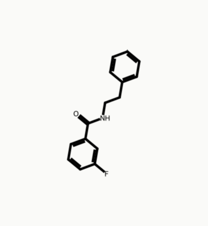 O=C(NCCc1cc[c]cc1)c1cccc(F)c1